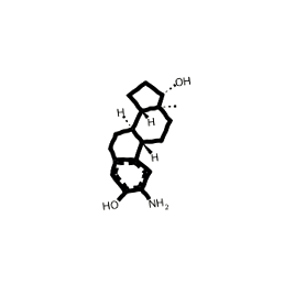 C[C@]12CC[C@@H]3c4cc(N)c(O)cc4CC[C@H]3[C@@H]1CC[C@@H]2O